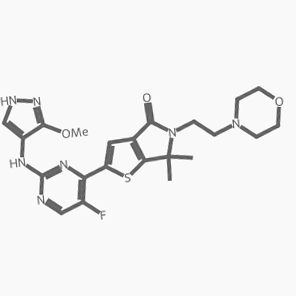 COc1n[nH]cc1Nc1ncc(F)c(-c2cc3c(s2)C(C)(C)N(CCN2CCOCC2)C3=O)n1